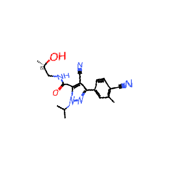 Cc1cc(-c2nn(C(C)C)c(C(=O)NC[C@H](C)O)c2C#N)ccc1C#N